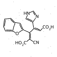 N#CC(C(=O)O)=C(C(=CC(=O)O)c1c[nH]cn1)c1cc2ccccc2o1